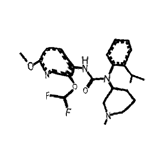 COc1ccc(NC(=O)N(c2ccccc2C(C)C)C2CCCN(C)C2)c(OC(F)F)n1